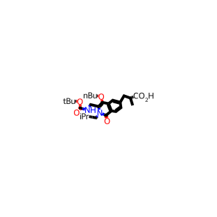 CCCCOc1c(CNC(=O)OC(C)(C)C)n(CC(C)C)c(=O)c2ccc(CC(C)C(=O)O)cc12